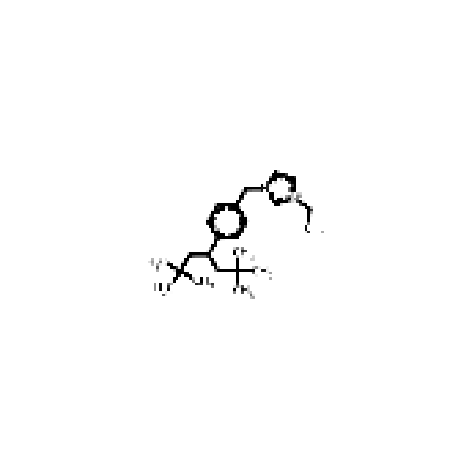 CC[n+]1ccn(Cc2ccc(C(CC(C)(C)C)CC(C)(C)C)cc2)c1